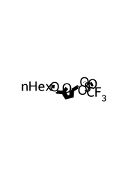 CCCCCCOCc1ccc(COS(=O)(=O)C(F)(F)F)o1